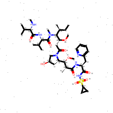 CC[C@H](C)[C@@H]([C@@H](CC(=O)N1C[C@H](O)C[C@H]1[C@H](OC)[C@@H](C)C(=O)N[C@@H](Cc1ccccn1)C(=O)NS(=O)(=O)C1CC1)OC)N(C)C(=O)[C@@H](NC(=O)[C@@H](NC)C(C)C)C(C)C